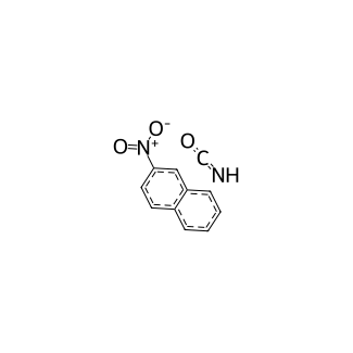 N=C=O.O=[N+]([O-])c1ccc2ccccc2c1